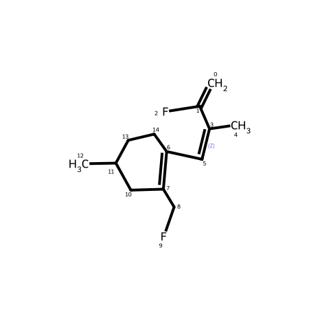 C=C(F)/C(C)=C\C1=C(CF)CC(C)CC1